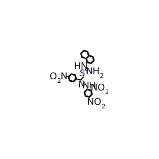 N/C(Nc1cccc2ccccc12)=[S+]\C/C(=N\Nc1ccc([N+](=O)[O-])cc1[N+](=O)[O-])c1ccc([N+](=O)[O-])cc1